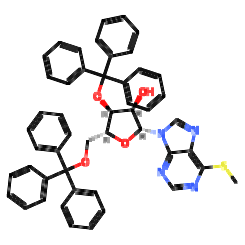 CSc1ncnc2c1ncn2[C@@H]1O[C@H](COC(c2ccccc2)(c2ccccc2)c2ccccc2)[C@@H](OC(c2ccccc2)(c2ccccc2)c2ccccc2)[C@H]1O